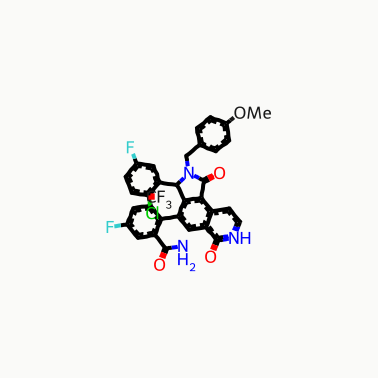 COc1ccc(CN2C(=O)c3c(c(-c4c(C(N)=O)cc(F)cc4C(F)(F)F)cc4c(=O)[nH]ccc34)C2c2cc(F)ccc2Cl)cc1